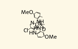 COc1ccc(C)c(Nc2ncc(Cl)c(Nc3ccc(OC)cc3NS(C)(=O)=O)n2)c1